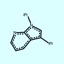 CC(C)c1cn(C(C)C)c2ncccc12